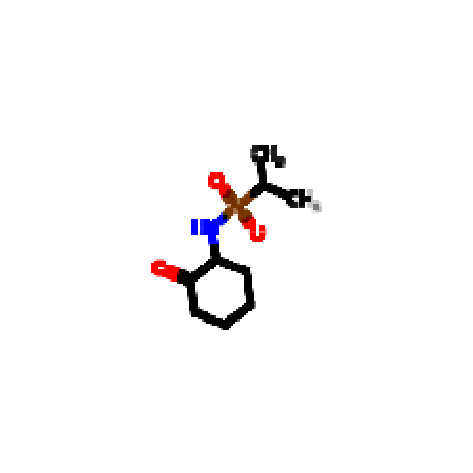 CC(C)S(=O)(=O)NC1CCCCC1=O